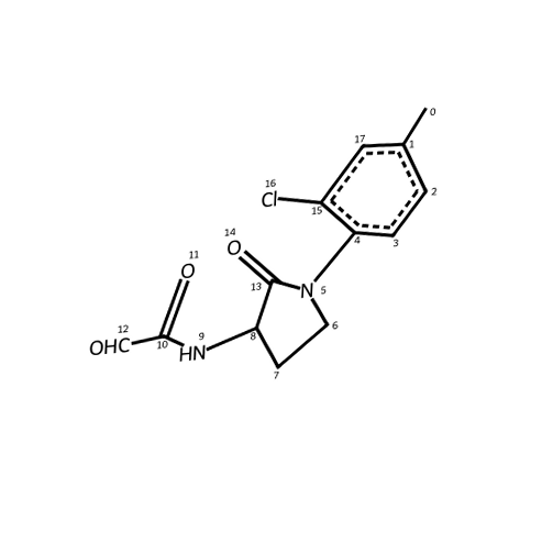 Cc1ccc(N2CCC(NC(=O)C=O)C2=O)c(Cl)c1